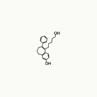 OCCCCCC1=C(c2ccccc2)CCCc2cc(O)ccc21